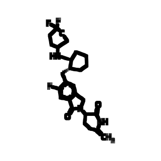 C=C1CCC(N2Cc3cc(C[C@H]4CCCC[C@@H]4NC4CCC(F)(F)CC4)c(F)cc3C2=O)C(=O)N1